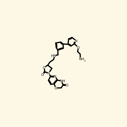 NCCOc1cc(-c2cccc(CNCCC3CN(c4ccc5c(n4)NC(=O)CO5)C(=O)O3)c2)ccn1